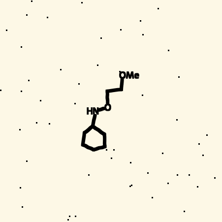 COCCONC1CCCCC1